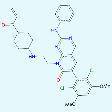 C=CC(=O)N1CCC(NCCn2c(=O)c(-c3c(Cl)c(OC)cc(OC)c3Cl)cc3cnc(Nc4ccccc4)nc32)CC1